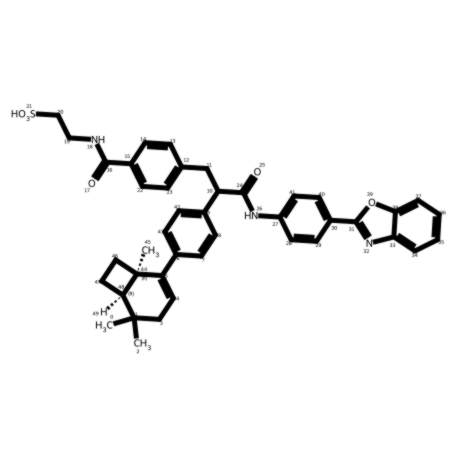 CC1(C)CC=C(c2ccc(C(Cc3ccc(C(=O)NCCS(=O)(=O)O)cc3)C(=O)Nc3ccc(-c4nc5ccccc5o4)cc3)cc2)[C@]2(C)CC[C@H]12